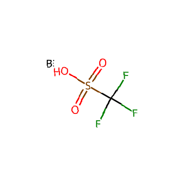 O=S(=O)(O)C(F)(F)F.[B]